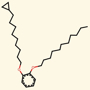 CCCCCCCCCCCOc1cc[c]cc1OCCCCCCCCCC1CC1